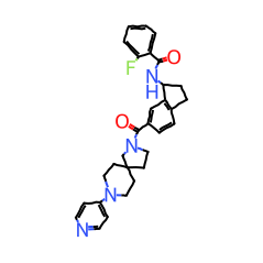 O=C(NC1CCc2ccc(C(=O)N3CCC4(CCN(c5ccncc5)CC4)C3)cc21)c1ccccc1F